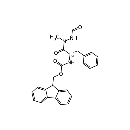 CN(NC=O)C(=O)[C@H](Cc1ccccc1)NC(=O)OCC1c2ccccc2-c2ccccc21